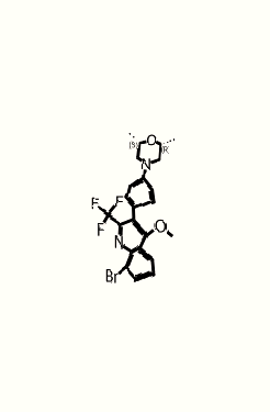 COc1c(-c2ccc(N3C[C@@H](C)O[C@@H](C)C3)cc2)c(C(F)(F)F)nc2c(Br)cccc12